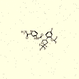 C[C@H]1[C@H](c2ccc(F)cc2OC(F)F)[C@@H](C(=O)Nc2ccnc(C(N)=O)c2)O[C@@]1(C)C(F)(F)F